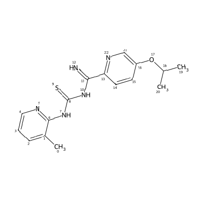 Cc1cccnc1NC(=S)NC(=N)c1ccc(OC(C)C)cn1